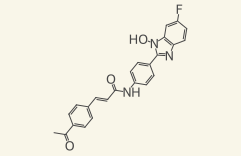 CC(=O)c1ccc(/C=C/C(=O)Nc2ccc(-c3nc4ccc(F)cc4n3O)cc2)cc1